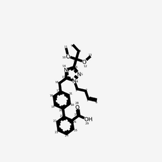 C=CCCn1nc(C(CC)(OC)OC)nc1Cc1ccc(-c2ccccc2C(=O)O)cc1